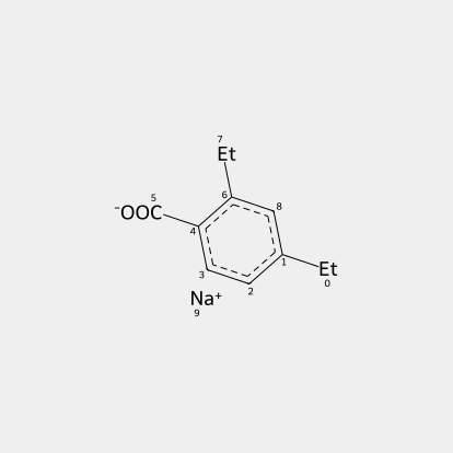 CCc1ccc(C(=O)[O-])c(CC)c1.[Na+]